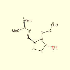 CCCCC[C@@H](C=C[C@@H]1CC[C@@H](O)[C@H]1CCC=O)OC